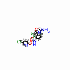 NC1=NC(c2cc(NC(=O)Oc3ccc(Cl)cn3)ccc2F)(C(F)F)COC1